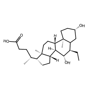 CC[C@@H]1C2C[C@@H](O)CC[C@]2(C)[C@H]2CC[C@]3(C)[C@@H]([C@H](C)CCC(=O)O)CC[C@H]3[C@@H]2[C@H]1O